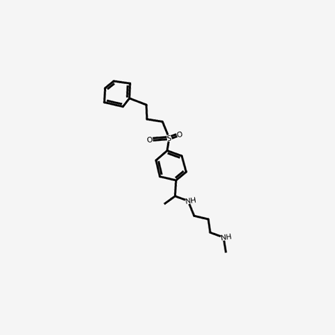 CNCCCNC(C)c1ccc(S(=O)(=O)CCCc2ccccc2)cc1